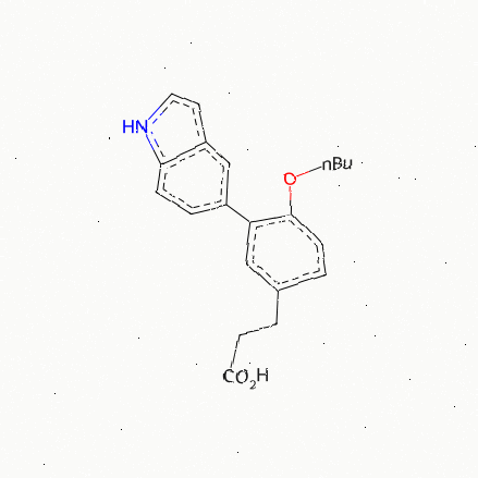 CCCCOc1ccc(CCC(=O)O)cc1-c1ccc2[nH]ccc2c1